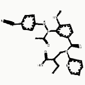 CCC(CN(C(=O)c1ccc(NC)c(N(Nc2ccc(C#N)cc2)C(C)=O)c1)c1ccccn1)C(=O)O